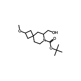 COC1CC2(CCN(C(=O)OC(C)(C)C)C(CO)C2)C1